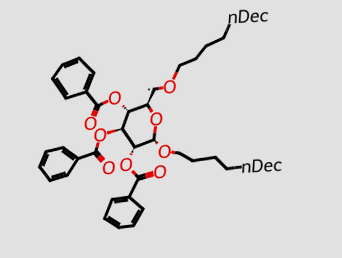 CCCCCCCCCCCCCCO[CH][C@H]1O[C@H](OCCCCCCCCCCCCCC)[C@H](OC(=O)c2ccccc2)[C@@H](OC(=O)c2ccccc2)[C@@H]1OC(=O)c1ccccc1